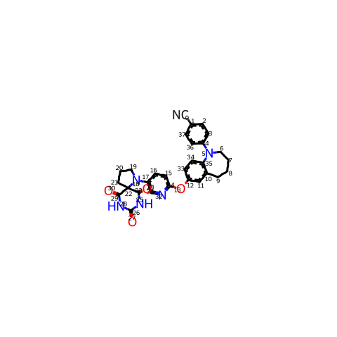 N#Cc1ccc(N2CCCCc3cc(Oc4ccc(N5CCCC56C(=O)NC(=O)NC6=O)cn4)ccc32)cc1